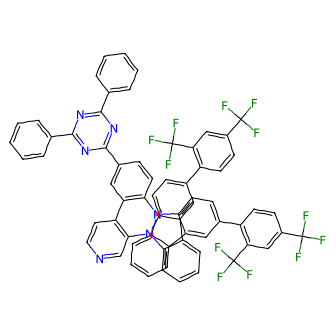 FC(F)(F)c1ccc(-c2ccc3c(c2)c2ccccc2n3-c2ccc(-c3nc(-c4ccccc4)nc(-c4ccccc4)n3)cc2-c2ccncc2-n2c3ccccc3c3cc(-c4ccc(C(F)(F)F)cc4C(F)(F)F)ccc32)c(C(F)(F)F)c1